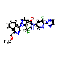 COCc1ncc(-n2ncc(C(=O)Nc3cnc(-n4nccn4)c(Cl)c3)c2C(F)(F)F)c2ccccc12